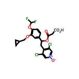 O=C(O)CC(=O)OC(Cc1c(Cl)c[n+]([O-])cc1Cl)c1ccc(OC(F)F)c(OCC2CC2)c1